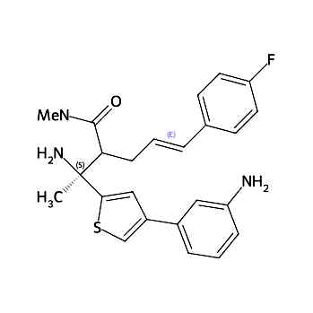 CNC(=O)C(C/C=C/c1ccc(F)cc1)[C@](C)(N)c1cc(-c2cccc(N)c2)cs1